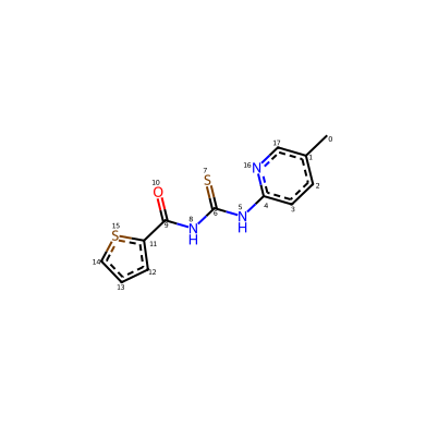 Cc1ccc(NC(=S)NC(=O)c2cccs2)nc1